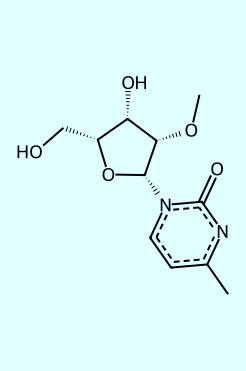 CO[C@H]1[C@@H](O)[C@@H](CO)O[C@H]1n1ccc(C)nc1=O